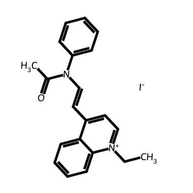 CC[n+]1ccc(C=CN(C(C)=O)c2ccccc2)c2ccccc21.[I-]